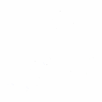 Nc1cc2c(cn1)CN(C(=O)c1c(O)cc(C(F)F)cc1OCc1ccccc1)C2